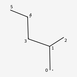 [CH2]C(C)C[CH]C